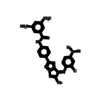 CCN(CC)c1ccc(/N=C2/C(C(C)(C)C)=Nn3nc(-c4ccc(NC(=O)c5cc(S(=O)(=O)O)cc(S(=O)(=O)O)c5)cc4)nc32)c(Cl)c1